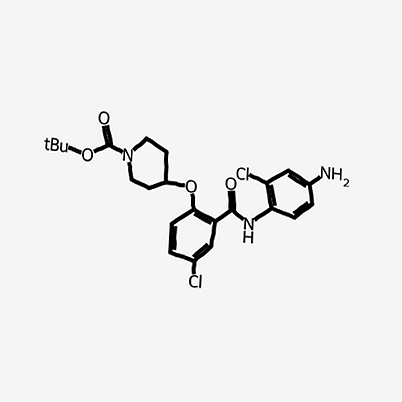 CC(C)(C)OC(=O)N1CCC(Oc2ccc(Cl)cc2C(=O)Nc2ccc(N)cc2Cl)CC1